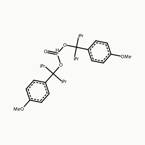 COc1ccc(C(O[PH](=O)OC(c2ccc(OC)cc2)(C(C)C)C(C)C)(C(C)C)C(C)C)cc1